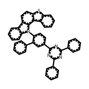 c1ccc(-c2nc(-c3ccccc3)nc(-c3ccc(-n4c5ccccc5c5ccc6sc7ccccc7c6c54)c(-c4ccccc4)c3)n2)cc1